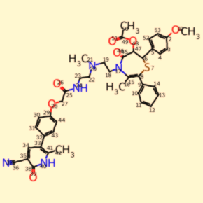 COc1ccc(C2SC(c3ccccc3)=C(C)N(CCN(C)CCNC(=O)COc3ccc(-c4cc(C#N)c(=O)[nH]c4C)cc3)C(=O)C2OC(C)=O)cc1